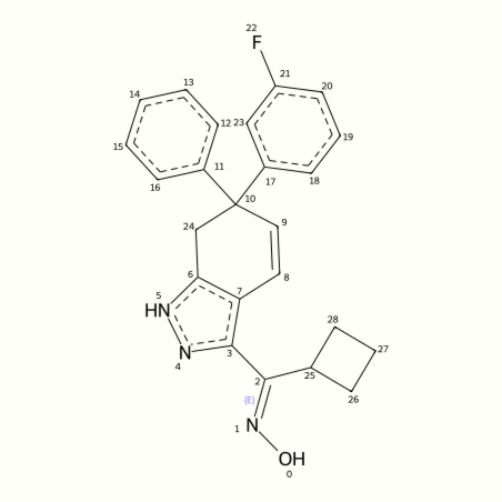 O/N=C(/c1n[nH]c2c1C=CC(c1ccccc1)(c1cccc(F)c1)C2)C1CCC1